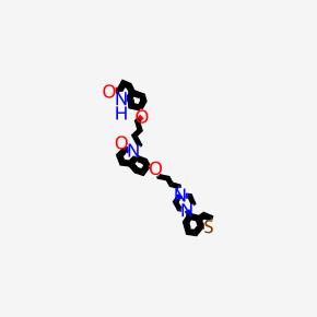 O=c1ccc2ccc(OCCCCn3c(=O)ccc4ccc(OCCCCN5CCN(c6cccc7sccc67)CC5)cc43)cc2[nH]1